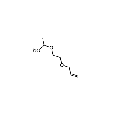 C=CCOCCOC(C)O